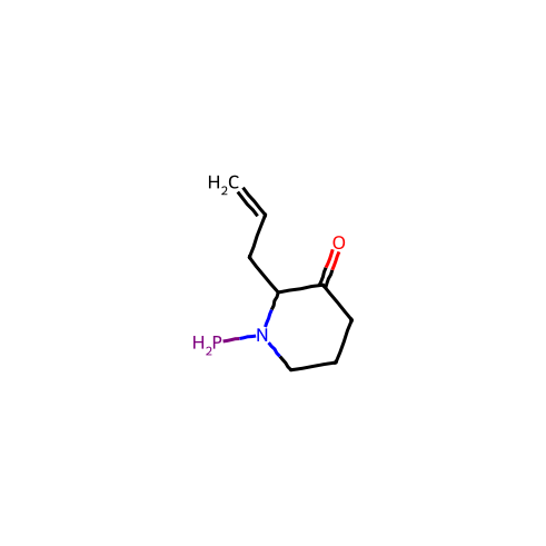 C=CCC1C(=O)CCCN1P